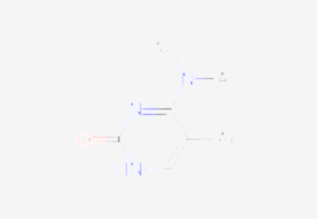 CC(=O)c1c[nH]c(=O)nc1N(C(C)=O)C(C)=O